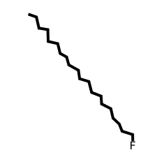 CCCCCCCCCCCCCCCCCCCCF